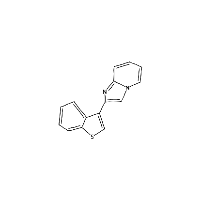 c1ccc2c(-c3cn4ccccc4n3)csc2c1